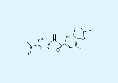 CC(=O)c1ccc(NC(=O)c2cc(C)c(OC(C)C)c(Cl)c2)cc1